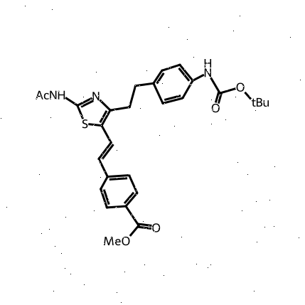 COC(=O)c1ccc(/C=C/c2sc(NC(C)=O)nc2CCc2ccc(NC(=O)OC(C)(C)C)cc2)cc1